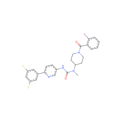 CN(C(=O)Nc1ccc(-c2cc(F)cc(F)c2)nc1)C1CCN(C(=O)c2ccccc2I)CC1